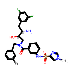 CCc1cccc(CN(C[C@@H](O)[C@@H](N)Cc2cc(F)cc(F)c2)C(=O)c2cccc(NS(=O)(=O)c3cn(C)cn3)c2)c1